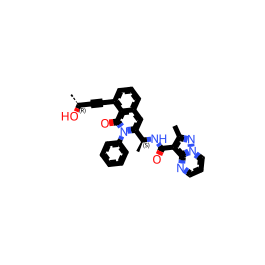 Cc1nn2cccnc2c1C(=O)N[C@@H](C)c1cc2cccc(C#C[C@@H](C)O)c2c(=O)n1-c1ccccc1